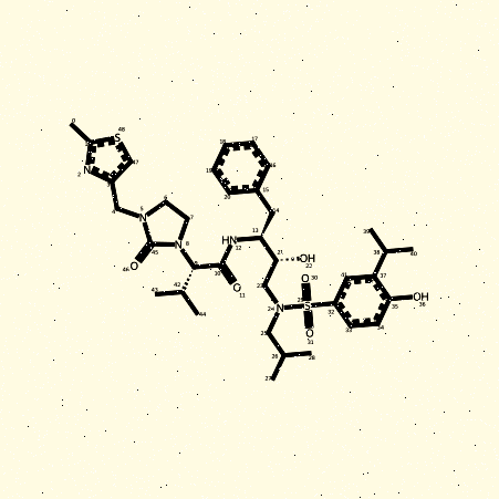 Cc1nc(CN2CCN([C@H](C(=O)N[C@@H](Cc3ccccc3)[C@H](O)CN(CC(C)C)S(=O)(=O)c3ccc(O)c(C(C)C)c3)C(C)C)C2=O)cs1